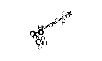 CC(C)(C)OC(=O)NCCOCCOCCNc1ccc2c(c1)c1cccnc1n2C1CCC(=O)NC1=O